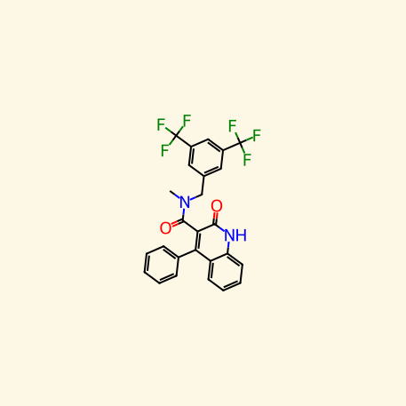 CN(Cc1cc(C(F)(F)F)cc(C(F)(F)F)c1)C(=O)c1c(-c2ccccc2)c2ccccc2[nH]c1=O